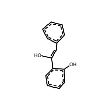 OC(=Cc1ccccc1)c1ccccc1O